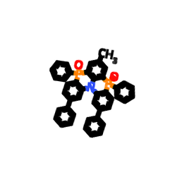 Cc1cc2c3c(c1)P(=O)(c1ccccc1)c1ccc(-c4ccccc4)cc1N3c1cc(-c3ccccc3)ccc1P2(=O)c1ccccc1